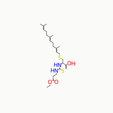 C=C(O)C(CSC/C=C(\C)CC/C=C(\C)CCC=C(C)C)NC(=S)NCCC(=O)OCC